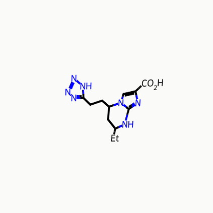 CCC1CC(CCc2nnn[nH]2)n2cc(C(=O)O)nc2N1